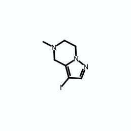 CN1CCn2ncc(I)c2C1